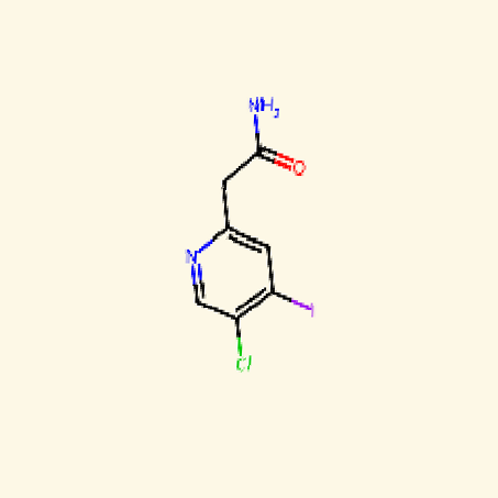 NC(=O)Cc1cc(I)c(Cl)cn1